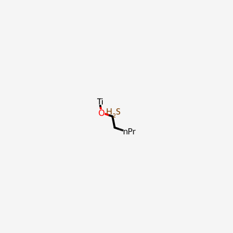 CCCCC[O][Ti].S